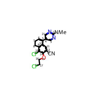 CNc1ncc(C2=CCCc3c2cc(C#N)c(OCCCl)c3Cl)cn1